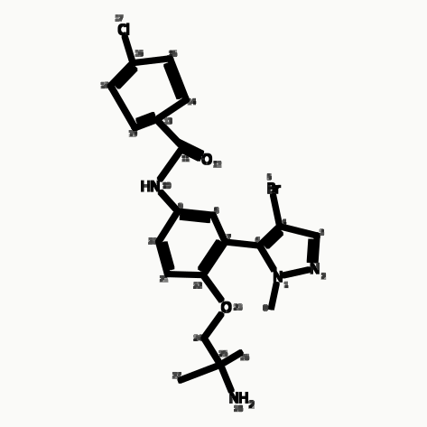 Cn1ncc(Br)c1-c1cc(NC(=O)c2ccc(Cl)cc2)ccc1OCC(C)(C)N